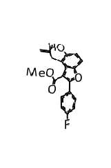 C=C(C)Cc1c(O)ccc2oc(-c3ccc(F)cc3)c(C(=O)OC)c12